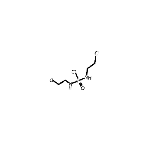 O=P(Cl)(NCCCl)NCCCl